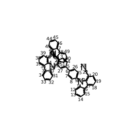 N#Cc1ccc(-c2ccc(-n3c4ccccc4c4cccc(C#N)c43)cc2)cc1-n1c2ccccc2c2cccc(-n3c4ccccc4c4ccccc43)c21